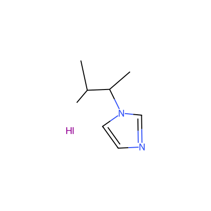 CC(C)C(C)n1ccnc1.I